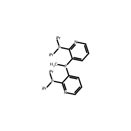 CC(C)P(c1ncccc1P(C)c1cccnc1P(C(C)C)C(C)C)C(C)C